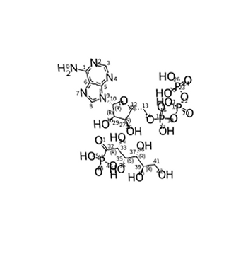 Nc1ncnc2c1ncn2[C@@H]1O[C@H](COP(=O)(O)OP(=O)(O)OP(=O)(O)O)[C@@H](O)[C@H]1O.O=C([C@H](O)[C@@H](O)[C@H](O)[C@H](O)CO)P(=O)(O)O